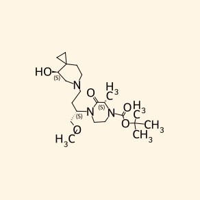 COC[C@H](CCN1CCC2(CC2)[C@H](O)C1)N1CCN(C(=O)OC(C)(C)C)[C@@H](C)C1=O